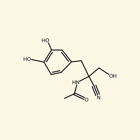 CC(=O)NC(C#N)(CO)Cc1ccc(O)c(O)c1